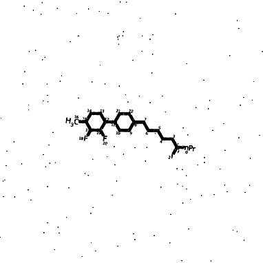 CCCC(I)CCCCCC1CCC(C2CCC(C)C(F)C2F)CC1